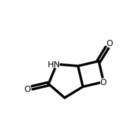 O=C1CC2OC(=O)C2N1